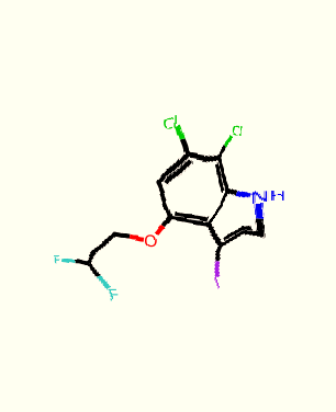 FC(F)COc1cc(Cl)c(Cl)c2[nH]cc(I)c12